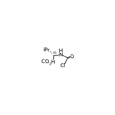 CC(C)[C@H](NC(=O)Cl)C(=O)O